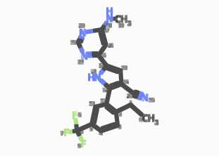 CCc1ccc(C(F)(F)F)cc1-c1[nH]c(-c2cc(NC)ncn2)cc1C#N